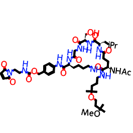 COC(C)(C)CCOC(C)(C)CCCNC(=O)[C@H](CCC(=O)N[C@@H](CC(C)C)C(=O)N[C@@H](CO)C(=O)NCC(=O)N[C@@H](CCCCN)C(=O)Nc1ccc(COC(=O)NCCN2C(=O)C=CC2=O)cc1)NC(C)=O